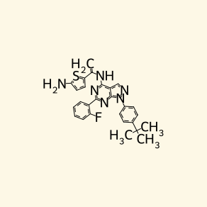 C=C(Nc1nc(-c2ccccc2F)nc2c1cnn2-c1ccc(C(C)(C)C)cc1)c1ccc(N)s1